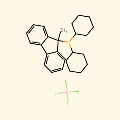 CC1(P(C2CCCCC2)C2CCCCC2)c2ccccc2-c2ccccc21.F[B-](F)(F)F